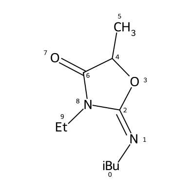 CCC(C)/N=C1/OC(C)C(=O)N1CC